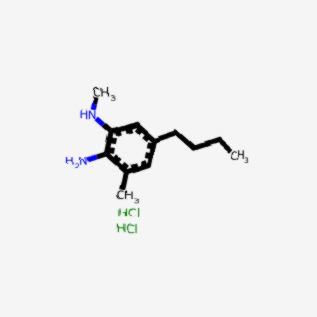 CCCCc1cc(C)c(N)c(NC)c1.Cl.Cl